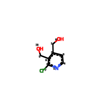 OCc1ccnc(Cl)c1CO